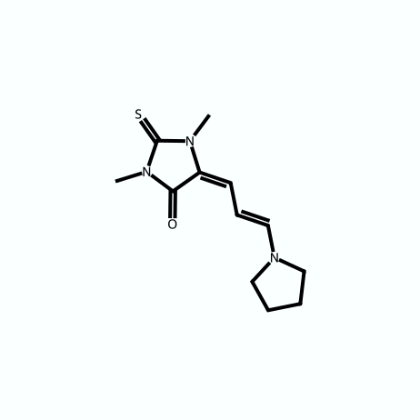 CN1C(=O)/C(=C\C=C\N2CCCC2)N(C)C1=S